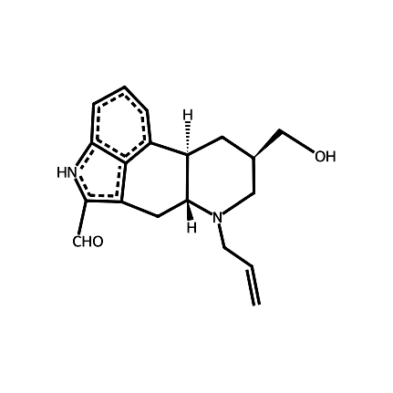 C=CCN1C[C@H](CO)C[C@@H]2c3cccc4[nH]c(C=O)c(c34)C[C@H]21